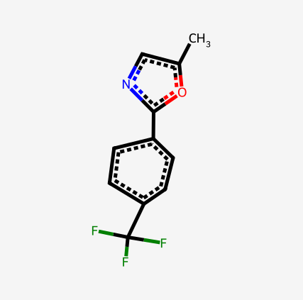 Cc1cnc(-c2ccc(C(F)(F)F)cc2)o1